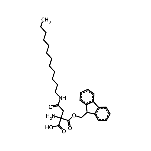 CCCCCCCCCCCCNC(=O)CC(N)(C(=O)O)C(=O)OCC1c2ccccc2-c2ccccc21